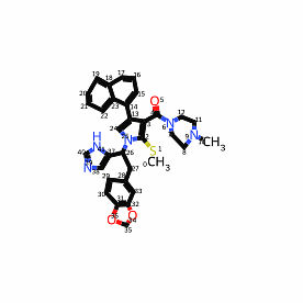 CSc1c(C(=O)N2CCN(C)CC2)c(-c2cccc3ccccc23)cn1C(Cc1ccc2c(c1)OCO2)c1cnc[nH]1